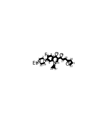 CCN1CCN(c2cc3c(cc2F)c(=O)c(C(=O)C=Cc2ccco2)cn3C2CC2)CC1